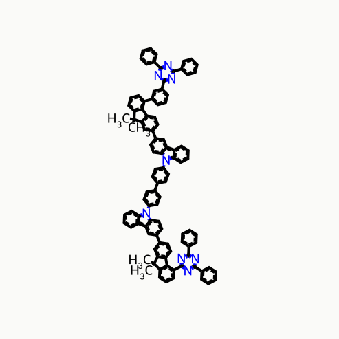 CC1(C)c2cc(-c3ccc4c(c3)c3ccccc3n4-c3ccc(-c4ccc(-n5c6ccccc6c6cc(-c7ccc8c(c7)C(C)(C)c7cccc(-c9nc(-c%10ccccc%10)nc(-c%10ccccc%10)n9)c7-8)ccc65)cc4)cc3)ccc2-c2c(-c3cccc(-c4nc(-c5ccccc5)nc(-c5ccccc5)n4)c3)cccc21